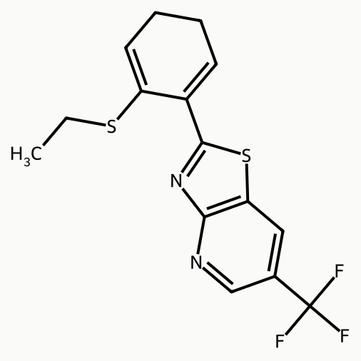 CCSC1=CCCC=C1c1nc2ncc(C(F)(F)F)cc2s1